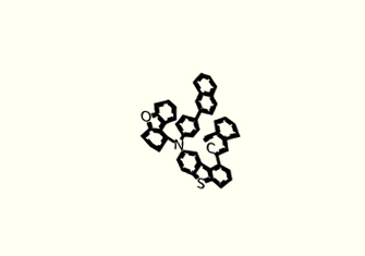 c1ccc2cc(-c3ccc(N(c4ccc5sc6cccc(-c7ccc8ccccc8c7)c6c5c4)c4cccc5oc6ccccc6c45)cc3)ccc2c1